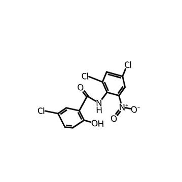 O=C(Nc1c(Cl)cc(Cl)cc1[N+](=O)[O-])c1cc(Cl)ccc1O